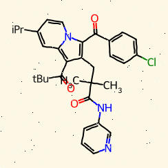 CC(C)c1ccn2c(C(=O)c3ccc(Cl)cc3)c(CC(C)(C)C(=O)Nc3cccnc3)c(C(=O)C(C)(C)C)c2c1